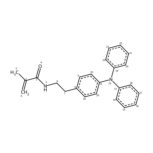 C=C(C)C(=O)NCCc1ccc(N(c2ccccc2)c2ccccc2)cc1